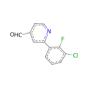 O=Cc1ccnc(-c2cccc(Cl)c2F)c1